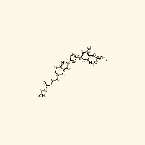 CCOC(=O)CCCN1CCc2nn(-c3nnc(-c4ccc(OC(C)C)c(Cl)c4)s3)cc2C1